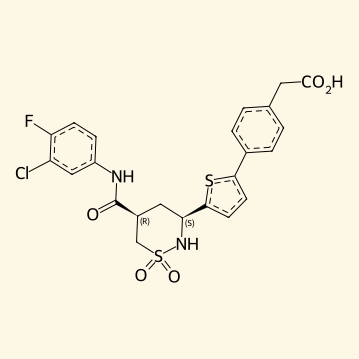 O=C(O)Cc1ccc(-c2ccc([C@@H]3C[C@H](C(=O)Nc4ccc(F)c(Cl)c4)CS(=O)(=O)N3)s2)cc1